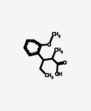 CCC(c1ccccc1OC)C(C)C(=O)O